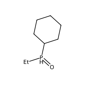 CC[PH](=O)C1CCCCC1